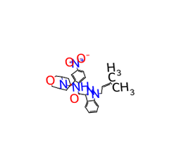 CC(C)=CCn1nc(C(=O)NC2CC3COCC(C2)N3Cc2cccc([N+](=O)[O-])c2)c2ccccc21